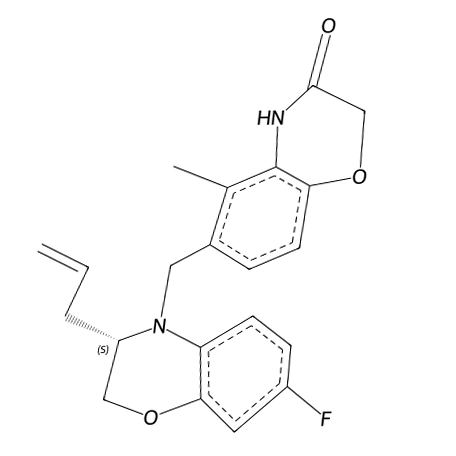 C=CC[C@H]1COc2cc(F)ccc2N1Cc1ccc2c(c1C)NC(=O)CO2